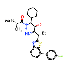 CC[C@@H](C(=N)C(=O)[C@@H](NC(=O)[C@H](C)NC)C1CCCCC1)c1nc2cccc(-c3ccc(F)cc3)c2s1